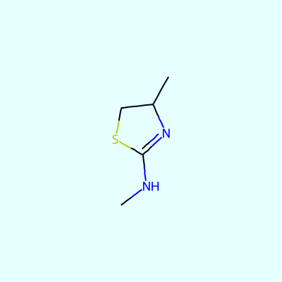 CNC1=NC(C)CS1